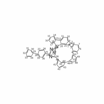 CC1(C)c2c3cccc2-c2ccc4c5ccccc5n(c4c21)-c1nc(-c2ccc(-c4ccccc4)cc2)nc(n1)-c1cccc(c1)-c1cccc-3c1